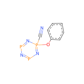 N#CP1(Oc2ccccc2)=NP=NP=N1